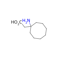 NC1(CC(=O)O)CCCCCCC1